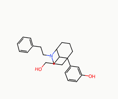 OCCC1C2CCCC1(c1cccc(O)c1)CCN2CCc1ccccc1